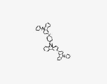 CC1(c2ccc3c(c2)c2ccccc2n3-c2ccccc2)C=CC(n2c3ccccc3c3cc(-c4ccc5c(c4)c4ccccc4n5-c4ccccc4)ccc32)=CC1